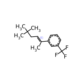 C/C(=C\CC(C)(C)C)c1cccc(C(F)(F)F)c1